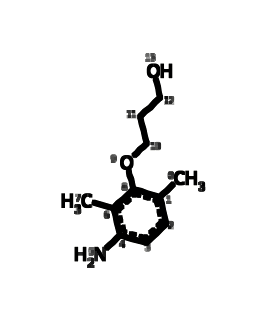 Cc1ccc(N)c(C)c1OCCCO